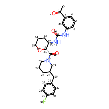 CC(=O)c1cccc(NC(=O)N[C@@H]2CCCO[C@H]2C(=O)N2CCCC(Cc3ccc(F)cc3)C2)c1